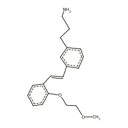 COCCOc1ccccc1C=Cc1cccc(CCCN)c1